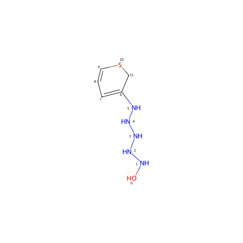 ONNNNNC1=CC=CSC1